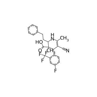 CC1=C(C#N)C(c2ccc(F)cc2C(F)(F)F)C(C)(C(=O)O)C(CCc2ccccc2)N1